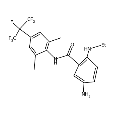 CCNc1ccc(N)cc1C(=O)Nc1c(C)cc(C(F)(C(F)(F)F)C(F)(F)F)cc1C